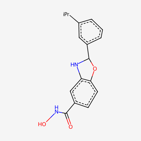 CC(C)c1cccc(C2Nc3cc(C(=O)NO)ccc3O2)c1